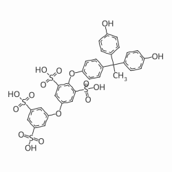 CC(c1ccc(O)cc1)(c1ccc(O)cc1)c1ccc(Oc2c(S(=O)(=O)O)cc(Oc3cc(S(=O)(=O)O)cc(S(=O)(=O)O)c3)cc2S(=O)(=O)O)cc1